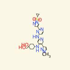 Cn1ccc(-c2cnc(Nc3ccnc(-c4cnn(S(=O)(=O)C5CC5)c4)n3)cc2NC2CCC(O)(CO)CC2)n1